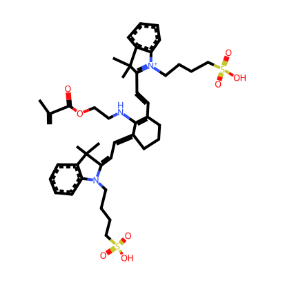 C=C(C)C(=O)OCCNC1=C(/C=C/C2=[N+](CCCCS(=O)(=O)O)c3ccccc3C2(C)C)CCC/C1=C\C=C1\N(CCCCS(=O)(=O)O)c2ccccc2C1(C)C